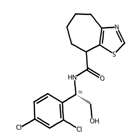 O=C(N[C@H](CO)c1ccc(Cl)cc1Cl)C1CCCCc2ncsc21